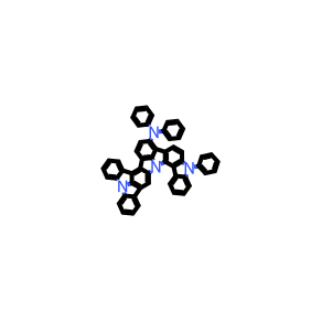 c1ccc(N(c2ccccc2)c2ccc3c4c5c6ccccc6n6c7ccccc7c(cc4n4c3c2c2ccc3c(c7ccccc7n3-c3ccccc3)c24)c56)cc1